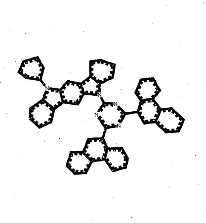 c1ccc(-n2c3ccccc3c3cc4c(cc32)c2ccccc2n4-c2nc(-c3cc4ccccc4c4ccccc34)nc(-c3cc4ccccc4c4ccccc34)n2)cc1